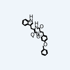 COc1c(Cc2c[nH]c3ccccc23)[nH]c(=O)c(Cc2ccc(OCc3ccccc3)cc2)[n+]1[O-]